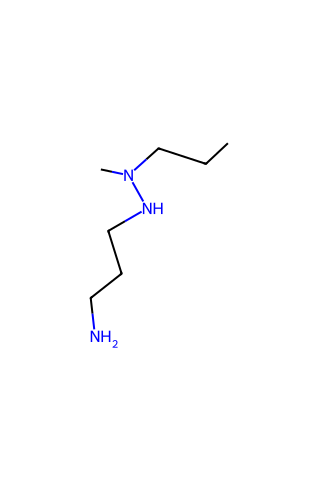 CCCN(C)NCCCN